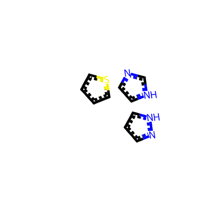 c1c[nH]cn1.c1ccsc1.c1cn[nH]c1